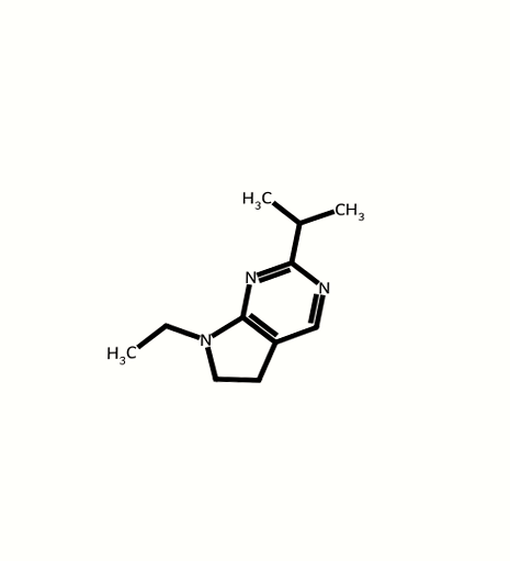 CCN1CCc2cnc(C(C)C)nc21